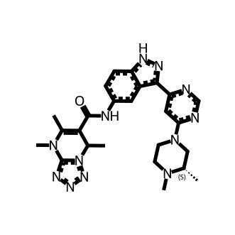 CC1=C(C(=O)Nc2ccc3[nH]nc(-c4cc(N5CCN(C)[C@@H](C)C5)ncn4)c3c2)C(C)n2nnnc2N1C